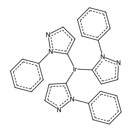 c1ccc(-n2ncc[c]2[Ir]([c]2ccnn2-c2ccccc2)[c]2ccnn2-c2ccccc2)cc1